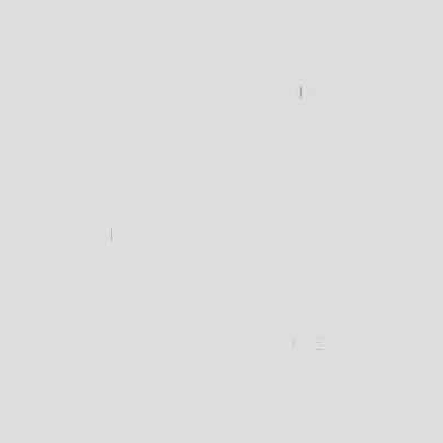 CCOC(=O)c1ccc(I)c(CCCO)c1